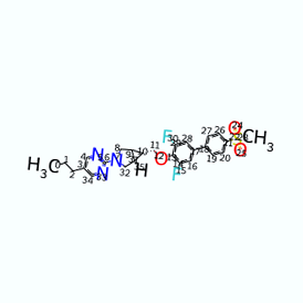 CCCc1cnc(N2CC3[C@H](COc4c(F)cc(-c5ccc(S(C)(=O)=O)cc5)cc4F)[C@H]3C2)nc1